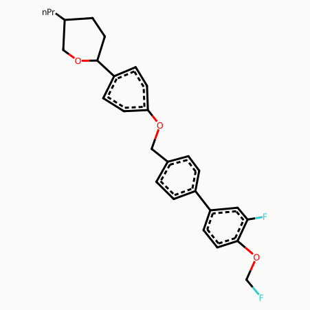 CCCC1CCC(c2ccc(OCc3ccc(-c4ccc(OCF)c(F)c4)cc3)cc2)OC1